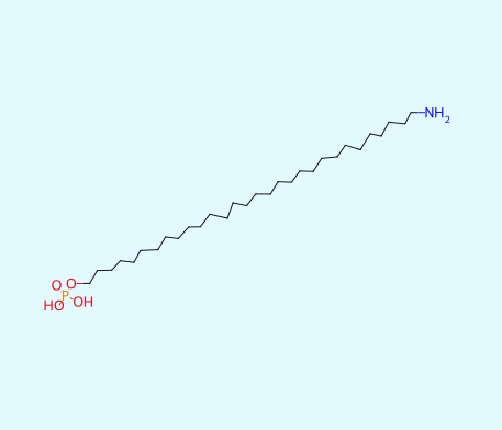 NCCCCCCCCCCCCCCCCCCCCCCCCCCCCCCOP(=O)(O)O